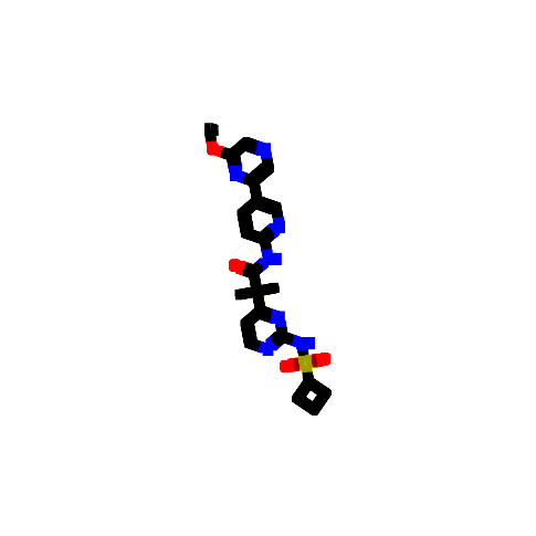 CCOc1cncc(-c2ccc(NC(=O)C(C)(C)c3ccnc(NS(=O)(=O)C4CCC4)n3)nc2)n1